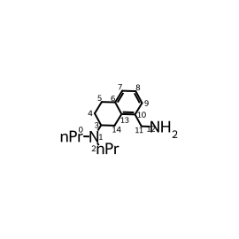 CCCN(CCC)C1CCc2cccc(CN)c2C1